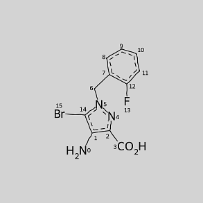 Nc1c(C(=O)O)nn(Cc2ccccc2F)c1Br